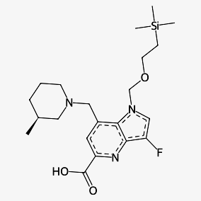 C[C@H]1CCCN(Cc2cc(C(=O)O)nc3c(F)cn(COCC[Si](C)(C)C)c23)C1